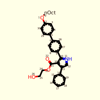 CCCCCCCCOc1ccc(-c2ccc(-c3[nH]cc(-c4ccccc4)c3C(=O)OCCO)cc2)cc1